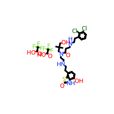 CC(C)(CO)CN(CCNCCc1ccc(O)c2[nH]c(=O)sc12)C(=O)CCNCCc1cccc(Cl)c1Cl.O=C(O)C(F)(F)F.O=C(O)C(F)(F)F